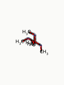 CCCCCCCC/C=C\CCCCCCCCc1cc(C(=O)O)c(N)c(CCCCCCCC/C=C\CCCCCCCC)c1CCCCCCCC/C=C\CCCCCCCC